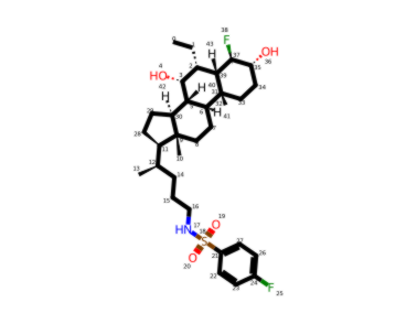 CC[C@H]1[C@@H](O)[C@@H]2[C@H](CC[C@]3(C)[C@@H]([C@H](C)CCCNS(=O)(=O)c4ccc(F)cc4)CC[C@@H]23)[C@@]2(C)CC[C@@H](O)[C@H](F)[C@@H]12